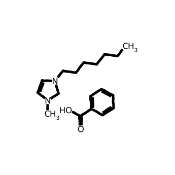 CCCCCCCN1C=CN(C)C1.O=C(O)c1ccccc1